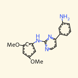 COc1cc(Nc2nccc(-c3cccc(N)c3)n2)cc(OC)c1